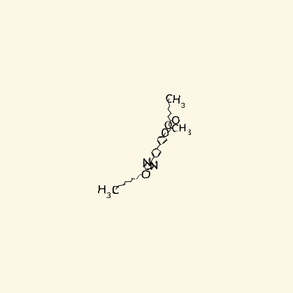 CCCCCCCCOc1cnc(-c2ccc(-c3ccc(OC[C@@H](C)OC(=O)CCCCCC)cc3)cc2)nc1